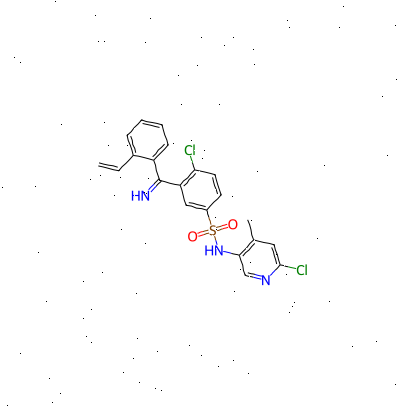 C=Cc1ccccc1C(=N)c1cc(S(=O)(=O)Nc2cnc(Cl)cc2C)ccc1Cl